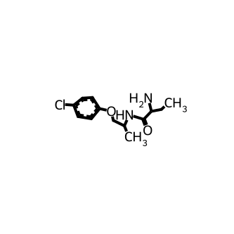 CCC(N)C(=O)NC(C)COc1ccc(Cl)cc1